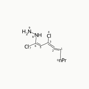 CCCC=C=C(Cl)/C=C(/Cl)NN